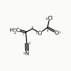 C=C(C#N)COC(=O)Cl